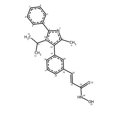 Cc1nc(-c2ccccc2)n(C(C)C)c1-c1cccc(C=CC(=O)NO)c1